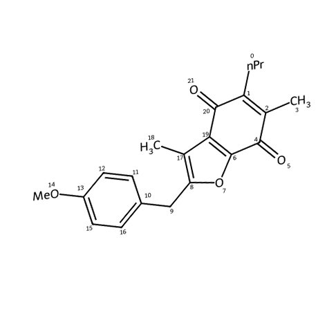 CCCC1=C(C)C(=O)c2oc(Cc3ccc(OC)cc3)c(C)c2C1=O